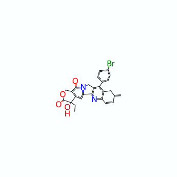 C=C1C=Cc2nc3c(c(-c4ccc(Br)cc4)c2C1)Cn1c-3cc2c(c1=O)COC(=O)C2(O)CC